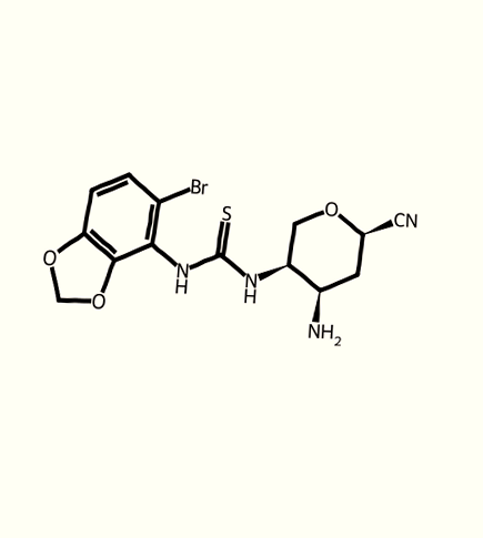 N#C[C@H]1C[C@@H](N)[C@@H](NC(=S)Nc2c(Br)ccc3c2OCO3)CO1